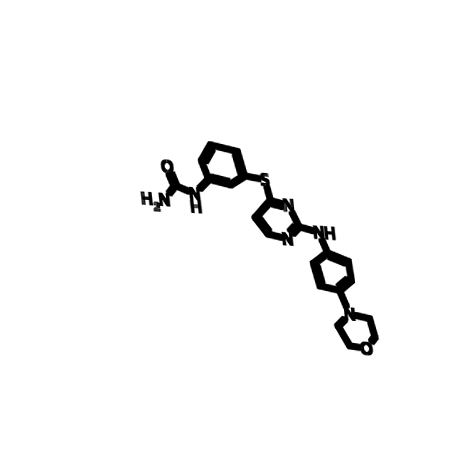 NC(=O)Nc1cccc(Sc2ccnc(Nc3ccc(N4CCOCC4)cc3)n2)c1